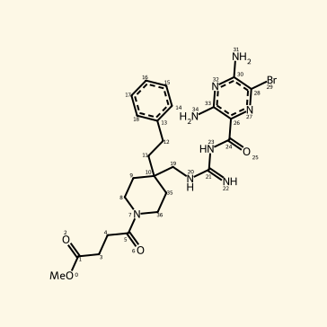 COC(=O)CCC(=O)N1CCC(CCc2ccccc2)(CNC(=N)NC(=O)c2nc(Br)c(N)nc2N)CC1